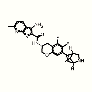 Cc1ccc2c(N)c(C(=O)N[C@H]3COc4cc(N5C[C@H]6NC[C@@H]5[C@H]6C)c(F)c(F)c4C3)sc2n1